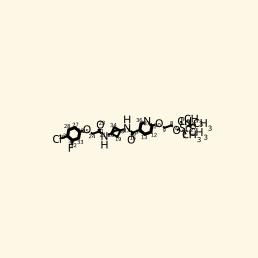 CC(C)(C)[Si](C)(C)OCCOc1ccc(C(=O)NC23CC(NC(=O)COc4ccc(Cl)c(F)c4)(C2)C3)cn1